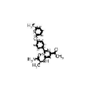 CC(=O)c1cc(N[C@@H](C)C(N)=O)nc(-c2ccc(Oc3cccc(C)n3)cc2)n1